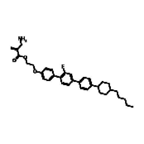 C=C(CN)C(=O)OCCOc1ccc(-c2ccc(-c3ccc(C4CCC(CCCCC)CC4)cc3)cc2F)cc1